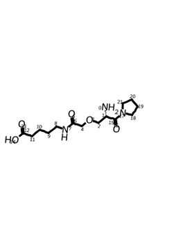 N[C@@H](COCC(=O)NCCCCC(=O)O)C(=O)N1CCCC1